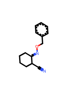 N#CC1CCCCC1=NOCc1ccccc1